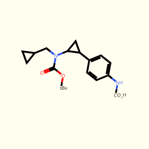 CC(C)(C)OC(=O)N(CC1CC1)C1CC1c1ccc(NC(=O)O)cc1